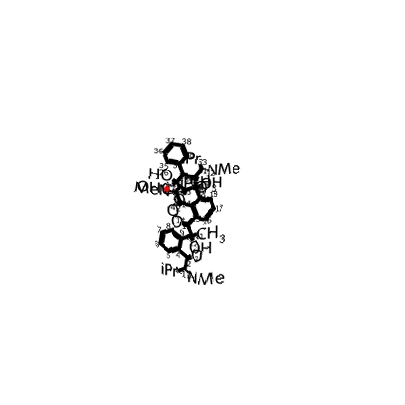 CN[C@H](C(=O)c1ccccc1C(C)(O)C(=O)c1cccc(C(C)(O)C(=O)C(O)([C]=O)C(C(=O)[C@@H](NC)C(C)C)c2ccccc2)c1C(=O)[C@@H](NC)C(C)C)C(C)C